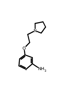 Nc1[c]ccc(OCCN2CCCC2)c1